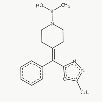 CB(O)N1CCC(=C(c2ccccc2)c2nnc(C)o2)CC1